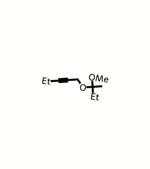 CCC#CCOC(C)(CC)OC